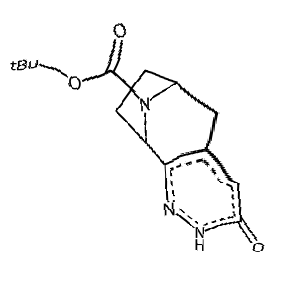 CC(C)(C)OC(=O)N1C2CCC1c1n[nH]c(=O)cc1C2